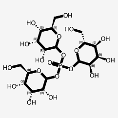 O=P(OC1O[C@H](CO)[C@@H](O)[C@@H](O)[C@H]1O)(OC1O[C@H](CO)[C@@H](O)[C@@H](O)[C@H]1O)OC1O[C@H](CO)[C@@H](O)[C@@H](O)[C@H]1O